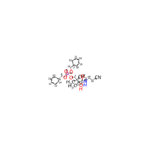 CC(C)(COP(=O)(OCc1ccccc1)OCc1ccccc1)C(C)(O)C(=O)NCCC#N